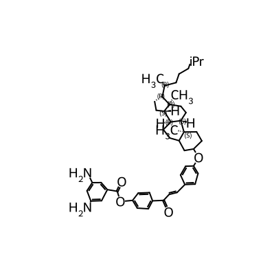 CC(C)CCC[C@@H](C)[C@H]1CC[C@H]2[C@@H]3CCC4CC(Oc5ccc(C=CC(=O)c6ccc(OC(=O)c7cc(N)cc(N)c7)cc6)cc5)CC[C@]4(C)[C@H]3CC[C@]12C